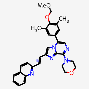 COCOc1c(C)cc(-c2cnc(N3CCOCC3)c3nc(/C=C/c4ccc5ccccc5n4)cn23)cc1C